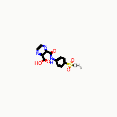 CS(=O)(=O)c1ccc(NC(=O)c2nccnc2C(=O)O)cc1